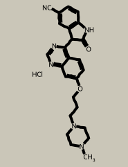 CN1CCN(CCCOc2ccc3c(C4C(=O)Nc5ccc(C#N)cc54)ncnc3c2)CC1.Cl